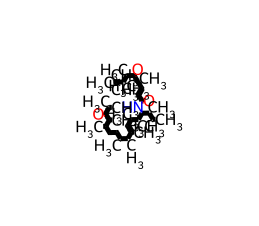 C/C(=C\C(C)C(C)C(NC(=O)/C=C/C(C)(C)C(=O)C(C)C(C)C(C)(C)C)C(C)C(C)C)C(C)C(C)CCC(C)C(C)C(=O)C(C)C